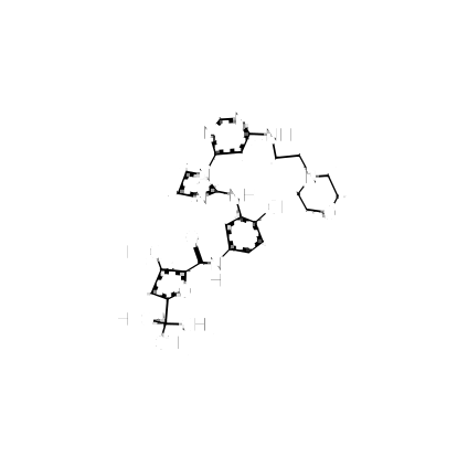 Cc1ccc(NC(=O)c2oc(C(C)(C)C)cc2C)cc1Nc1nccn1-c1cc(NCCN2CCOCC2)ncn1